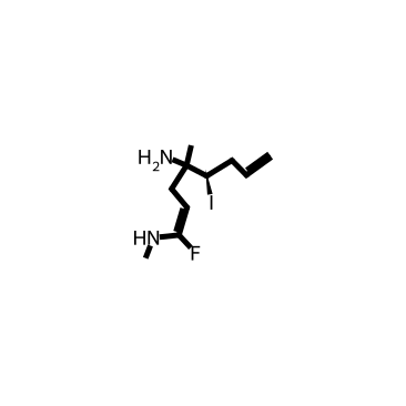 C=CC[C@@H](I)C(C)(N)C/C=C(/F)NC